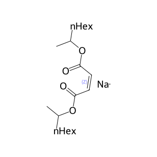 CCCCCCC(C)OC(=O)/C=C\C(=O)OC(C)CCCCCC.[Na]